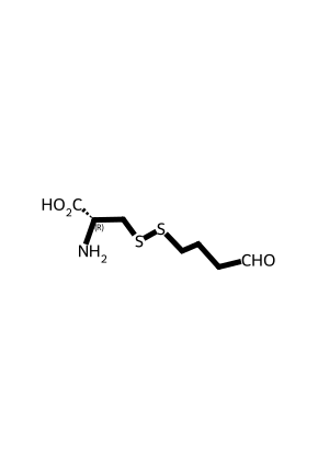 N[C@@H](CSSCCCC=O)C(=O)O